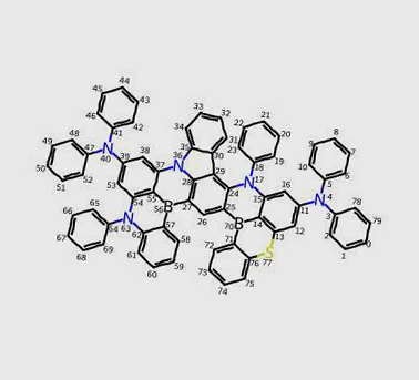 c1ccc(N(c2ccccc2)c2cc3c4c(c2)N(c2ccccc2)c2c(cc5c6c2c2ccccc2n6-c2cc(N(c6ccccc6)c6ccccc6)cc6c2B5c2ccccc2N6c2ccccc2)B4c2ccccc2S3)cc1